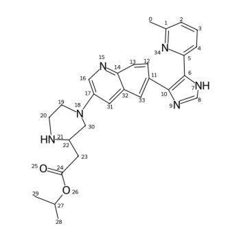 Cc1cccc(-c2[nH]cnc2-c2ccc3ncc(N4CCNC(CC(=O)OC(C)C)C4)cc3c2)n1